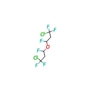 FC(CC(F)(F)Cl)OC(F)CC(F)(F)Cl